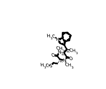 CSCC[C@@H]1C(=O)N(C)[C@H]([C@H](C)c2cn(C)c3ccccc23)C(=O)N1C